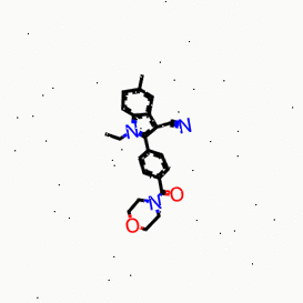 CCn1c(-c2ccc(C(=O)N3CCOCC3)cc2)c(C#N)c2cc(C)ccc21